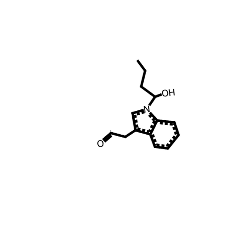 CCCC(O)n1cc(C[C]=O)c2ccccc21